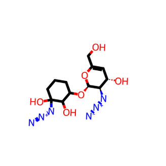 [N-]=[N+]=N[C@H]1[C@@H](OC2CCCC(O)(N=[N+]=[N-])C2O)OC(CO)=C[C@@H]1O